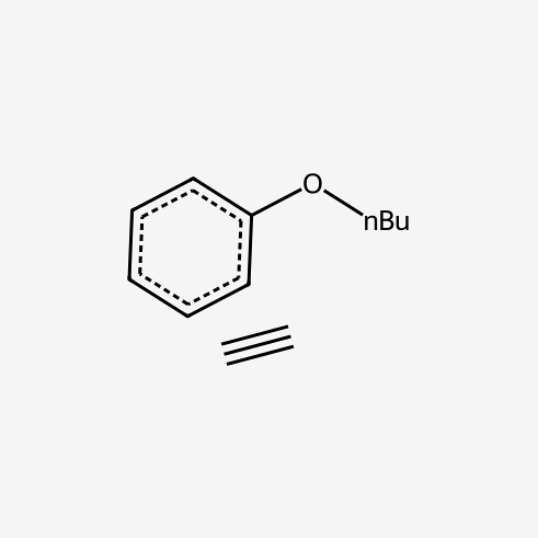 C#C.CCCCOc1ccccc1